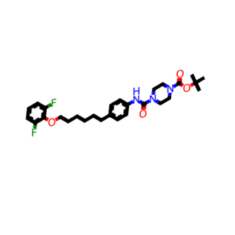 CC(C)(C)OC(=O)N1CCN(C(=O)Nc2ccc(CCCCCCOc3c(F)cccc3F)cc2)CC1